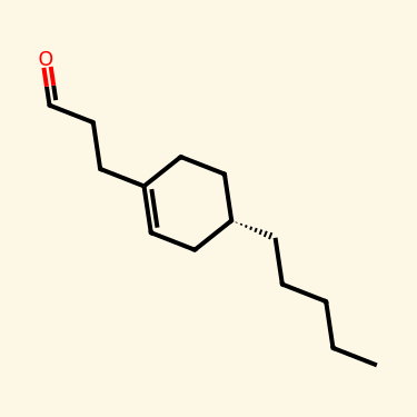 CCCCC[C@@H]1CC=C(CCC=O)CC1